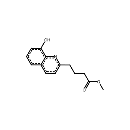 COC(=O)CCCc1ccc2cccc(O)c2n1